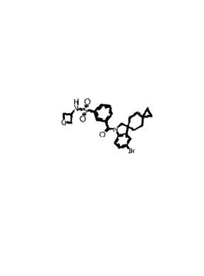 O=C(c1cccc(S(=O)(=O)NC2COC2)c1)N1CC2(CCC3(CC3)CC2)c2cc(Br)ccc21